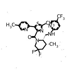 Cc1ccc(-c2sc(C)nc2C(=O)N2CC(F)(F)C[C@@H](C)[C@H]2CNc2ccc(C(F)(F)F)cn2)nc1